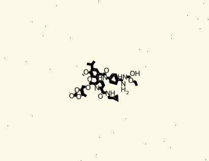 CCOC(O)NC(N)c1ccc(NC(=O)c2cc(C(C)C)c(OC)cc2-c2ccc(C(=O)NCC3CC3)nc2C(=O)OCc2oc(=O)oc2C)cc1